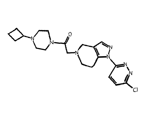 O=C(CN1CCc2c(cnn2-c2ccc(Cl)nn2)C1)N1CCN(C2CCC2)CC1